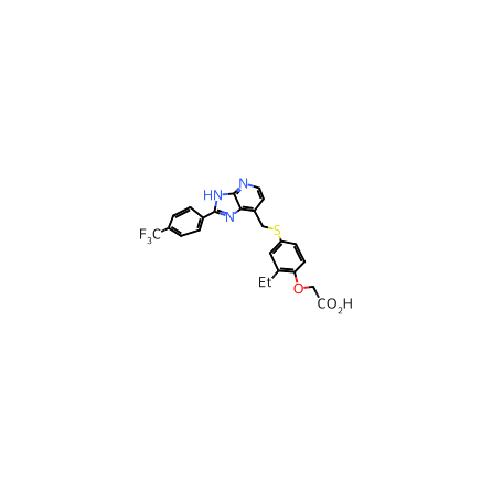 CCc1cc(SCc2ccnc3[nH]c(-c4ccc(C(F)(F)F)cc4)nc23)ccc1OCC(=O)O